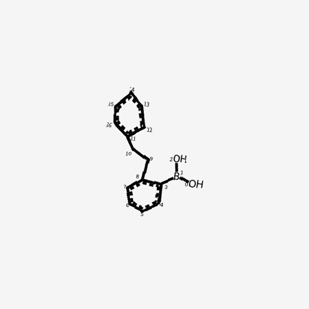 OB(O)c1ccccc1CCc1ccccc1